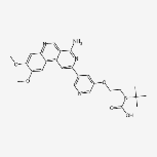 COc1cc2ncc3c(N)nc(-c4cncc(OCCN(C(=O)O)C(C)(C)C)c4)cc3c2cc1OC